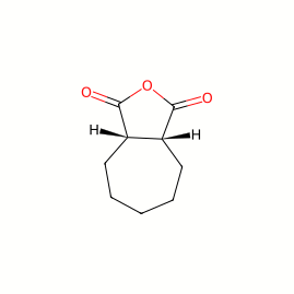 O=C1OC(=O)[C@@H]2CCCCC[C@H]12